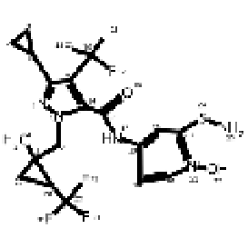 CC1(Cn2nc(C3CC3)c(C(F)(F)F)c2C(=O)Nc2cc[n+](O)c(SN)c2)CC1C(F)(F)F